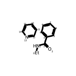 CCNC(=O)c1ccccc1.c1ccncc1